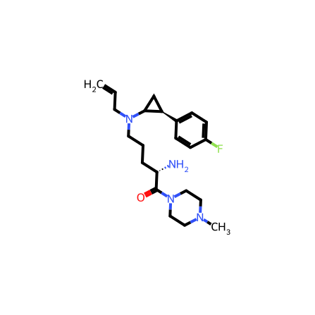 C=CCN(CCC[C@H](N)C(=O)N1CCN(C)CC1)C1C[C@H]1c1ccc(F)cc1